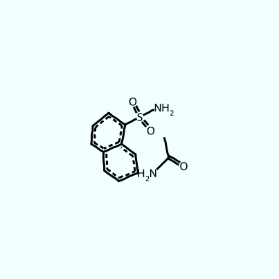 CC(N)=O.NS(=O)(=O)c1cccc2ccccc12